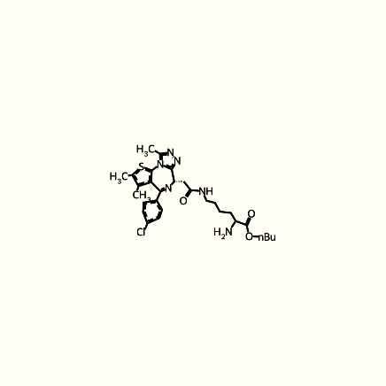 CCCCOC(=O)C(N)CCCCNC(=O)C[C@@H]1N=C(c2ccc(Cl)cc2)c2c(sc(C)c2C)-n2c(C)nnc21